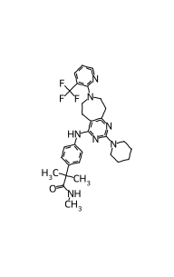 CNC(=O)C(C)(C)c1ccc(Nc2nc(N3CCCCC3)nc3c2CCN(c2ncccc2C(F)(F)F)CC3)cc1